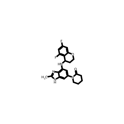 Cc1nc2c(NC3CCOc4cc(F)cc(F)c43)cc(N3CCCCC3=O)cc2[nH]1